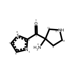 NC1(C(=O)c2nccs2)CCNC1